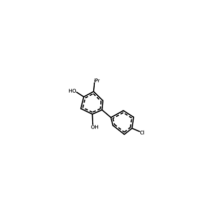 CC(C)c1cc(-c2ccc(Cl)cc2)c(O)cc1O